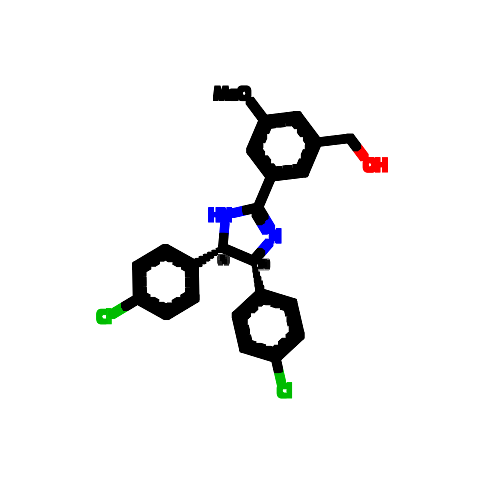 COc1cc(CO)cc(C2=N[C@H](c3ccc(Cl)cc3)[C@H](c3ccc(Cl)cc3)N2)c1